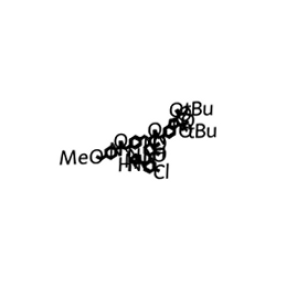 COCC1CCN(C(=O)Nc2ccc(C[C@@H](C(=O)Nc3ccc4c(c3)cc(C(=O)OC(C)(C)C)n4C(=O)OC(C)(C)C)N3CCN(c4cc(Cl)ccc4-n4cnnn4)C(=O)C3=O)cc2)CC1